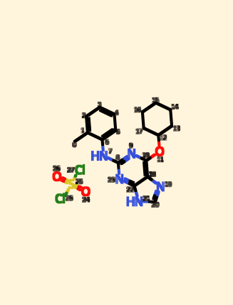 Cc1ccccc1Nc1nc(OC2CCCCC2)c2nc[nH]c2n1.O=S(=O)(Cl)Cl